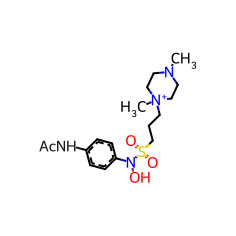 CC(=O)Nc1ccc(N(O)S(=O)(=O)CCC[N+]2(C)CCN(C)CC2)cc1